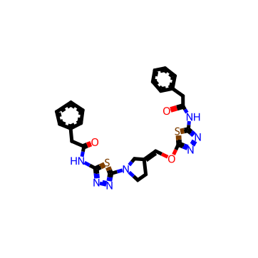 O=C(Cc1ccccc1)Nc1nnc(O/C=C2\CCN(c3nnc(NC(=O)Cc4ccccc4)s3)C2)s1